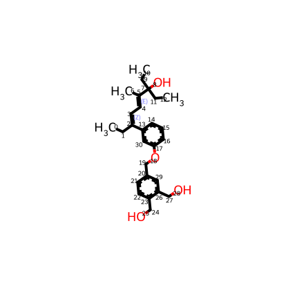 CC/C(=C/C=C(\C)C(O)(CC)CC)c1cccc(OCc2ccc(CO)c(CO)c2)c1